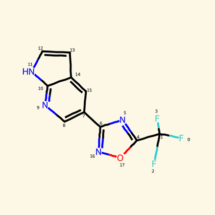 FC(F)(F)c1nc(-c2cnc3[nH]ccc3c2)no1